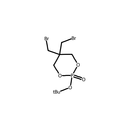 CC(C)(C)OP1(=O)OCC(CBr)(CBr)CO1